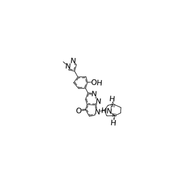 Cn1cc(-c2ccc(-c3cc4c(=O)ccn(C5C[C@H]6CC[C@@H](C5)N6)c4nn3)c(O)c2)cn1